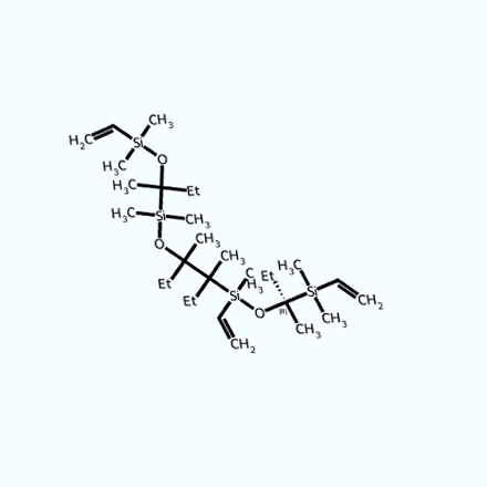 C=C[Si](C)(C)OC(C)(CC)[Si](C)(C)OC(C)(CC)C(C)(CC)[Si](C)(C=C)O[C@@](C)(CC)[Si](C)(C)C=C